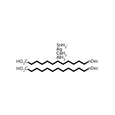 CCCCCCCCCCCCCCCCCCCCCC(=O)O.CCCCCCCCCCCCCCCCCCCCCC(=O)O.[Ag].[AlH3].[CaH2].[SnH2]